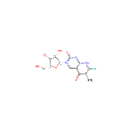 Cc1c(F)[nH]c2nc(=O)n([C@@H]3O[C@H](CO)C(O)[C@@H]3O)cc2c1=O